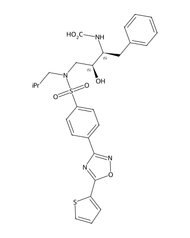 CC(C)CN(C[C@H](O)[C@H](Cc1ccccc1)NC(=O)O)S(=O)(=O)c1ccc(-c2noc(-c3cccs3)n2)cc1